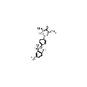 CN(CC(O)c1ccc(OS(=O)(=O)c2cc(C(F)(F)F)ccc2Cl)cc1)C(=O)OC(C)(C)C